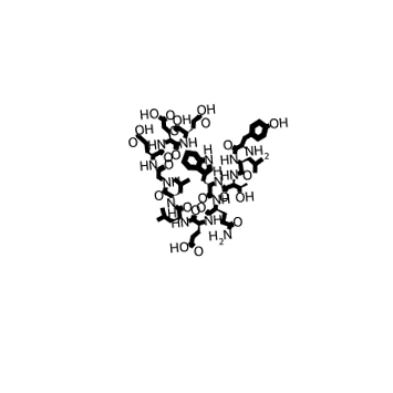 CC(C)C[C@H](NC(=O)[C@H](CC(C)C)NC(=O)[C@H](CCC(=O)O)NC(=O)[C@H](CCC(N)=O)NC(=O)[C@H](Cc1c[nH]c2ccccc12)NC(=O)[C@@H](NC(=O)[C@H](CC(C)C)NC(=O)[C@@H](N)Cc1ccc(O)cc1)[C@@H](C)O)C(=O)NCC(=O)N[C@@H](CCC(=O)O)C(=O)N[C@@H](CCC(=O)O)C(=O)N[C@@H](CCC(=O)O)C(=O)O